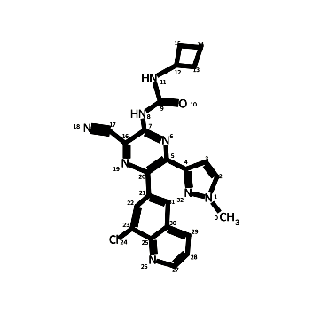 Cn1ccc(-c2nc(NC(=O)NC3CCC3)c(C#N)nc2-c2cc(Cl)c3ncccc3c2)n1